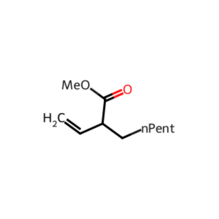 C=CC(CCCCCC)C(=O)OC